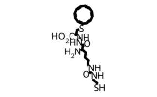 NC(CCCCNC(=O)NCCS)C(=O)NNC(CSC1=C/C=C\C=C/C=C\C=C/C=C\1)C(=O)O